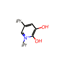 CC(C)c1cc(O)c(O)[n+](C(C)C)c1